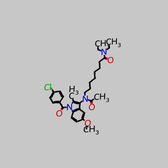 CCN(CC)C(=O)CCCCCCCN(C(C)=O)c1c(C)n(C(=O)c2ccc(Cl)cc2)c2ccc(OC)cc12